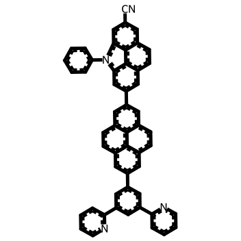 N#Cc1cc2ccc3cc(-c4cc5ccc6cc(-c7cc(-c8ccccn8)cc(-c8ccccn8)c7)cc7ccc(c4)c5c67)cc4c3c2c(c1)n4-c1ccccc1